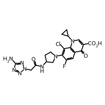 Nc1nnn(CC(=O)NC2CCN(c3c(F)cc4c(=O)c(C(=O)O)cn(C5CC5)c4c3Cl)C2)n1